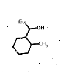 CC1CCCCC1C(O)C(C)(C)C